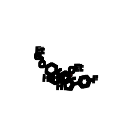 CCOCO[C@H]1CC[C@@]2(C)[C@H](CC[C@@H]3[C@@H]2CC[C@]2(C)C(c4ccc(F)cc4)=CC[C@]32OCOCC)C1